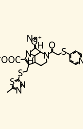 Cc1nnc(SCC2=C(C(=O)[O-])N3C(=O)[C@@H]4[C@H]3C2CCN4C(=O)CSc2ccncc2)s1.[Na+]